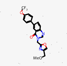 COCc1coc(Cn2cnc3ccc(-c4ccc(OC(F)(F)F)cc4)cc3c2=O)n1